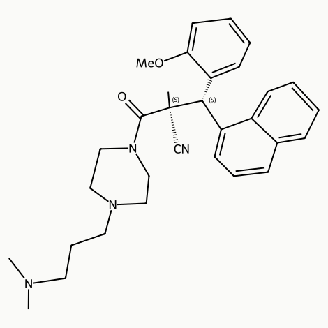 COc1ccccc1[C@H](c1cccc2ccccc12)[C@@](C)(C#N)C(=O)N1CCN(CCCN(C)C)CC1